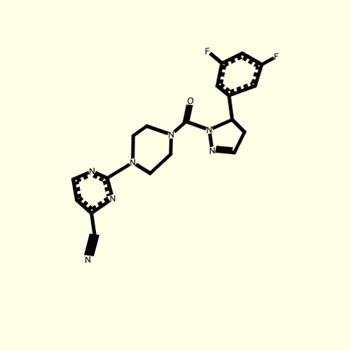 N#Cc1ccnc(N2CCN(C(=O)N3N=CCC3c3cc(F)cc(F)c3)CC2)n1